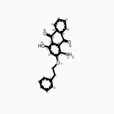 Nc1c(OCCc2ccccc2)cc(O)c2c1C(=O)c1ccccc1C2=O